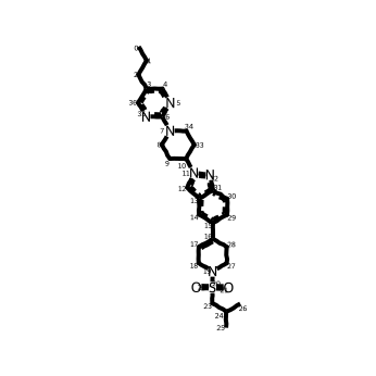 CCCc1cnc(N2CCC(n3cc4cc(C5=CCN(S(=O)(=O)CC(C)C)CC5)ccc4n3)CC2)nc1